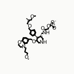 COCCCN1CCOc2ccc(CO[C@H]3CNC[C@@H](CNC(=O)CO[N+](=O)[O-])[C@@H]3c3ccc(COC[C@@H](C)COC)cc3)cc21